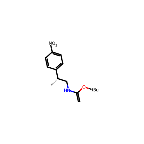 C=C(NC[C@H](C)c1ccc([N+](=O)[O-])cc1)OC(C)(C)C